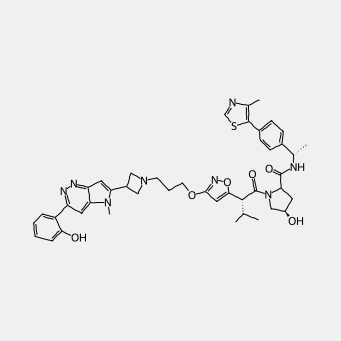 Cc1ncsc1-c1ccc([C@H](C)NC(=O)C2C[C@@H](O)CN2C(=O)[C@@H](c2cc(OCCCN3CC(c4cc5nnc(-c6ccccc6O)cc5n4C)C3)no2)C(C)C)cc1